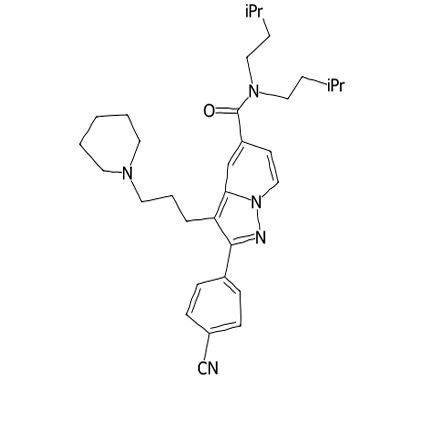 CC(C)CCN(CCC(C)C)C(=O)c1ccn2nc(-c3ccc(C#N)cc3)c(CCCN3CCCCC3)c2c1